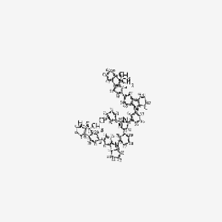 CC1(C)c2ccccc2-c2ccc(-c3ccc4c(c3)c3ccccc3n4-c3cccc(-c4cc(-c5cccc(-n6c7ccccc7c7cc(-c8ccc9c(c8)C(C)(C)c8ccccc8-9)ccc76)c5)nc(-c5cccc(Cl)c5)n4)c3)cc21